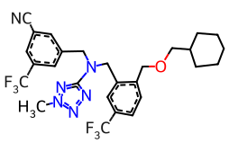 Cn1nnc(N(Cc2cc(C#N)cc(C(F)(F)F)c2)Cc2cc(C(F)(F)F)ccc2COCC2CCCCC2)n1